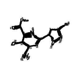 COC(=O)c1nc(C2CC(Br)=NO2)nc(N)c1Cl